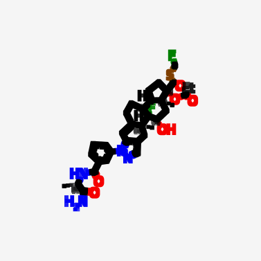 CCC(=O)O[C@]1(C(=O)SCF)CC[C@H]2[C@@H]3CCC4=Cc5c(cnn5-c5cccc(C(=O)N[C@@H](C)C(N)=O)c5)C[C@]4(C)[C@@]3(F)[C@@H](O)C[C@@]21C